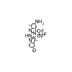 COc1ccc2nc(Nc3nc(OC(=O)C(F)(F)F)c4cc(N)cc(C)c4n3)nc(C)c2c1